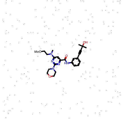 COCCN(C)c1cc(C(=O)Nc2cccc(C#CC(C)(C)O)c2)nc(N2CCOCC2)n1